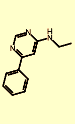 CCNc1cc(-c2ccccc2)ncn1